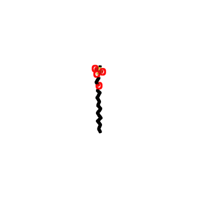 CCCCCCCCCCCCOCCOS(C)(=O)=O